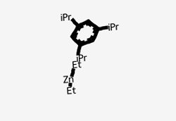 CC(C)c1cc(C(C)C)cc(C(C)C)c1.C[CH2][Zn][CH2]C